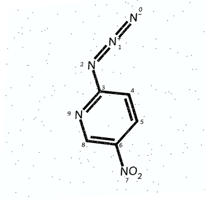 [N-]=[N+]=Nc1ccc([N+](=O)[O-])cn1